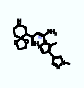 Cc1c(-c2cnn(C)c2)cnn1/C(N)=C\C(=N)C1CNCCC12OCCO2